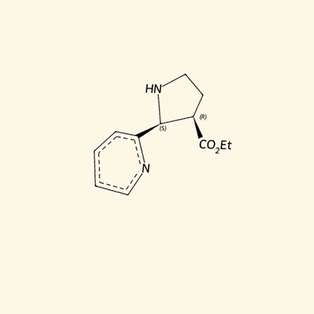 CCOC(=O)[C@@H]1CCN[C@@H]1c1ccccn1